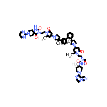 Cc1cc(N2CC[C@@](C)(c3ccccc3-c3cccc(C4(C)CCN(c5cc(C)n(CCN6C(=O)NC7(CCN(c8ncccn8)CC7)C6=O)c(=O)c5)C4)c3)C2)cc(=O)n1CCN(C=O)C(=O)NC1(C)CCN(c2nccn3cncc23)CC1